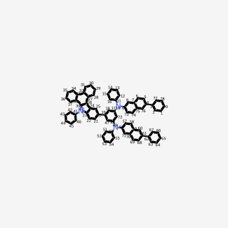 c1ccc(-c2ccc3cc(N(c4ccccc4)c4cc(-c5ccc6c(c5)c5c7ccccc7c7ccccc7c5n6-c5ccccc5)cc(N(c5ccccc5)c5ccc6cc(-c7ccccc7)ccc6c5)c4)ccc3c2)cc1